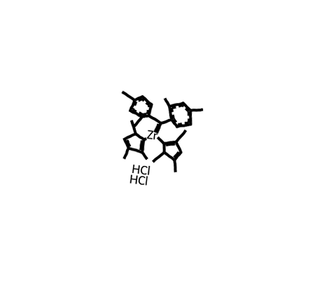 CC1=CC(C)[C]([Zr]([C]2=C(C)C=C(C)C2C)=[C](c2ccc(C)cc2C)c2ccc(C)cc2C)=C1C.Cl.Cl